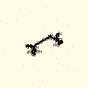 CC(=O)N1CCN(c2nc(NCCC(=O)N(C)CCOCCOCCOCCOCCOC[C@H](NC(=O)[C@@H]3C[C@@H](O)CN3C(=O)[C@H](c3cc(C)no3)C(C)C)c3ccc(-c4scnc4C)cc3)nc3c(F)c(-c4cc(O)cc5ccccc45)c(Cl)cc23)CC1